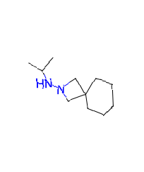 CC(C)NN1CC2(CCCCC2)C1